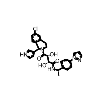 C[C@@H](NC(=O)[C@H](O)[C@@H](O)C(=O)N1CCc2cc(Cl)ccc2C1c1cc[nH]c1)c1ccc(-n2cccn2)cc1